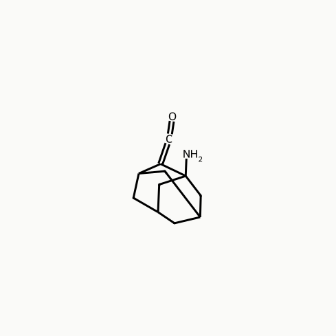 NC12CC3CC(CC(C3)C1=C=O)C2